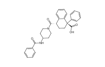 O=C(NC1CCN(C(=O)[C@H]2CC[C@@](C(=O)O)(c3ccccc3)c3ccccc32)CC1)c1ccccc1